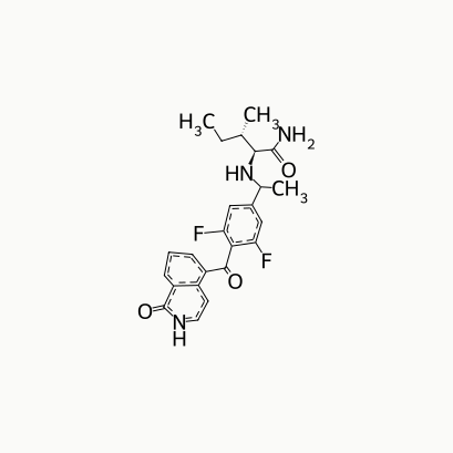 CC[C@H](C)[C@H](NC(C)c1cc(F)c(C(=O)c2cccc3c(=O)[nH]ccc23)c(F)c1)C(N)=O